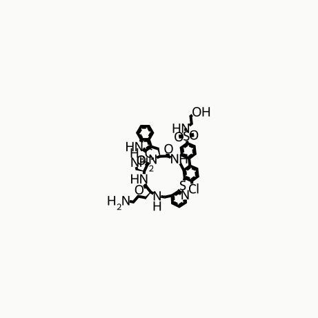 CN1C(=O)[C@H](CN)NC(=O)[C@H](CCCN)NCc2cccnc2Sc2c(Cl)ccc(-c3ccc(S(=O)(=O)NCCO)cc3)c2CNC(=O)[C@@H]1Cc1c[nH]c2ccccc12